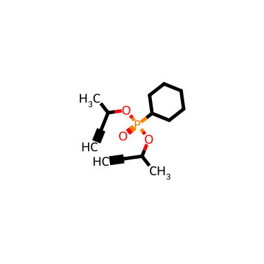 C#CC(C)OP(=O)(OC(C)C#C)C1CCCCC1